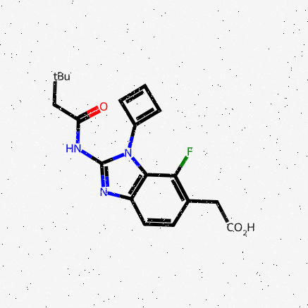 CC(C)(C)CC(=O)Nc1nc2ccc(CC(=O)O)c(F)c2n1C1=CC=C1